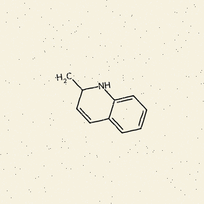 [CH2]C1C=Cc2ccccc2N1